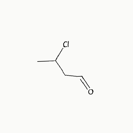 CC(Cl)CC=O